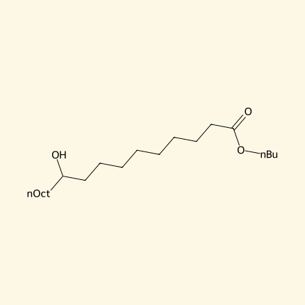 CCCCCCCCC(O)CCCCCCCCC(=O)OCCCC